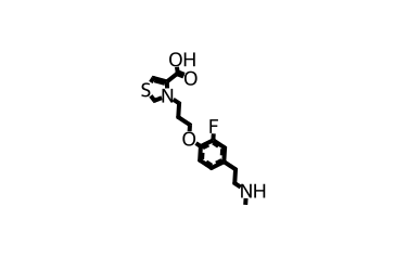 CNCCc1ccc(OCCCN2CSC=C2C(=O)O)c(F)c1